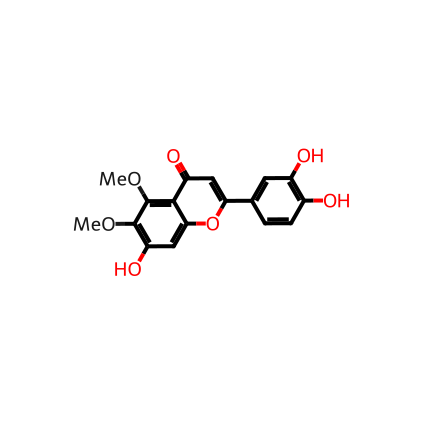 COc1c(O)cc2oc(-c3ccc(O)c(O)c3)cc(=O)c2c1OC